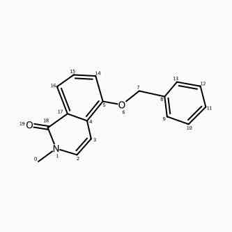 Cn1ccc2c(OCc3ccccc3)cccc2c1=O